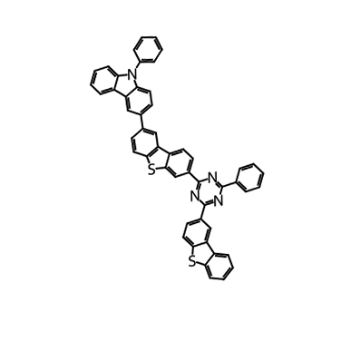 c1ccc(-c2nc(-c3ccc4c(c3)sc3ccc(-c5ccc6c(c5)c5ccccc5n6-c5ccccc5)cc34)nc(-c3ccc4sc5ccccc5c4c3)n2)cc1